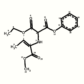 CC=C(NC(C(=O)OCC)C(=O)Oc1ccccc1)C(=O)OC